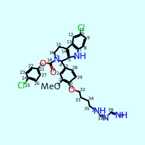 COc1cc(C2c3[nH]c4ccc(Cl)cc4c3CCN2C(=O)Oc2ccc(Cl)cc2)ccc1OCCCCN/C=N\C=N